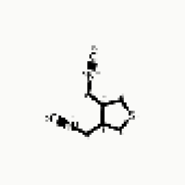 [C-]#[N+]CC1CSCC1C[N+]#[C-]